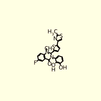 Cc1nc(-c2ccc(C3N(C)c4ccc(F)cc4C(=O)N3c3cccc(O)c3O)s2)cs1